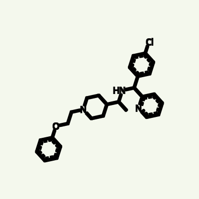 CC(NC(c1ccc(Cl)cc1)c1ccccn1)C1CCN(CCOc2ccccc2)CC1